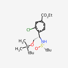 CCOC(=O)c1ccc([C@@H](CO[Si](C)(C)C(C)(C)C)N[S@@+]([O-])C(C)(C)C)c(Cl)c1